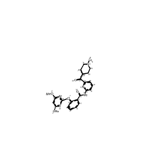 COc1cc(OC)nc(Oc2ccccc2C(=O)Nc2cccc(C(=O)C3CCN(C)CC3)n2)n1